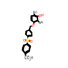 CCCc1c(OCc2ccc(S(=O)(=O)c3ccc(C(=O)O)cc3)cc2)ccc(C(C)=O)c1O